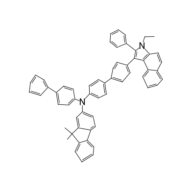 CCn1c(-c2ccccc2)c(-c2ccc(-c3ccc(N(c4ccc(-c5ccccc5)cc4)c4ccc5c(c4)C(C)(C)c4ccccc4-5)cc3)cc2)c2c3ccccc3ccc21